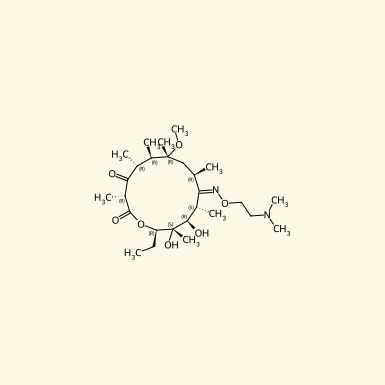 CC[C@H]1OC(=O)[C@H](C)C(=O)[C@H](C)[C@@H](C)[C@](C)(OC)C[C@@H](C)C(=NOCCN(C)C)[C@H](C)[C@@H](O)[C@]1(C)O